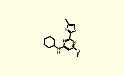 COc1cc(NC2CCCCC2)nc(-c2nc(C)cs2)n1